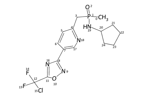 CP(=O)(Cc1ccc(-c2noc(C(F)(F)Cl)n2)cn1)NC1CCCC1